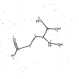 CC(C)C(=O)CCC(NS)C(O)O